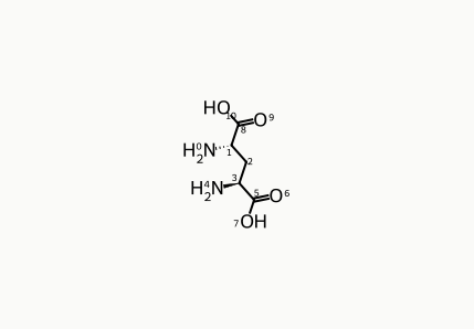 N[C@@H](C[C@H](N)C(=O)O)C(=O)O